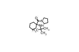 CC(C)(C)NC1(C(=O)N2CCCC2)CCCCC1